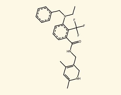 CCN(Cc1ccccc1)c1cccc(C(=O)NCC2=C(C)C=C(C)NC2)c1C(F)(F)F